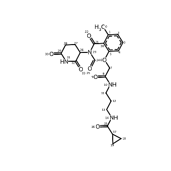 Cc1cccc(OCC(=O)NCCCNC(=O)C2CC2)c1C(=O)N(C=O)C1CCC(=O)NC1=O